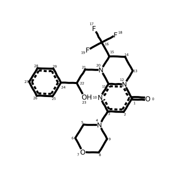 O=c1cc(N2CCOCC2)nc2n1CCC(C(F)(F)F)N2CC(O)c1ccccc1